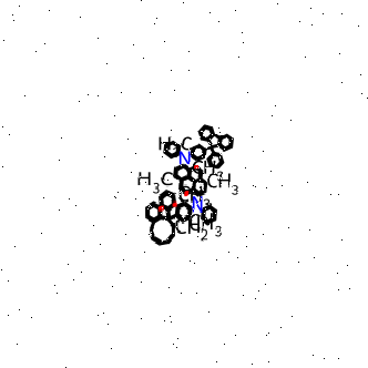 C=C1/C=C\C=C/Cc2ccccc2C1(c1ccccc1)c1cc(C)c(N(c2ccccc2)c2cc(C)c3ccc4c(N(c5ccccc5)c5c(C)cc(C6(c7ccccc7)c7ccccc7-c7ccccc76)cc5C)cc(C)c5ccc2c3c54)c(C)c1